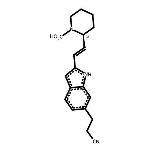 N#CCCc1ccc2cc(C=C[C@@H]3CCCCN3C(=O)O)[nH]c2c1